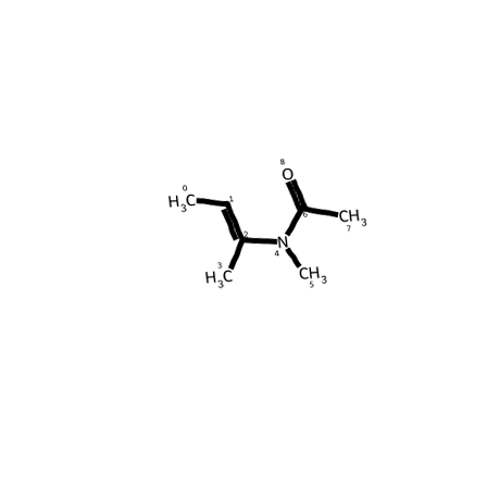 C/C=C(\C)N(C)C(C)=O